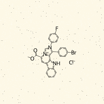 COC(=O)c1cc2c3ccccc3[nH]c2c2c(-c3ccc(Br)cc3)n(-c3ccc(F)cc3)c[n+]12.[Cl-]